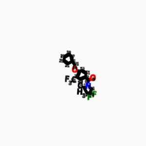 C[C@@H]1CC(F)(F)CN1C(=O)c1ccc(OCc2ccccc2)c(C(F)(F)F)c1